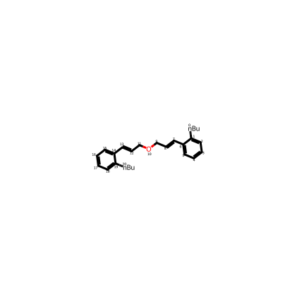 CCCCc1ccccc1C=CCOCC=Cc1ccccc1CCCC